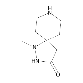 CN1NC(=O)CC12CCNCC2